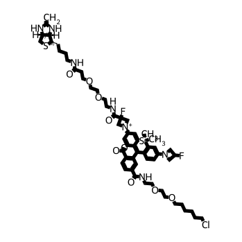 C=C1N[C@H]2[C@H](CS[C@H]2CCCCNC(=O)CCOCCOCCNC(=O)C2(F)C[N+](=C3C=CC4=C(c5cc(C(=O)NCCOCCOCCCCCCCl)ccc5C(=O)[O-])c5ccc(N6CC(F)C6)cc5[Si](C)(C)C4=C3)C2)N1